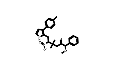 COC(C(=O)CC(C)(C)C(Cc1[nH]ccc1-c1ccc(C)cc1)[N+](=O)[O-])c1ccccc1